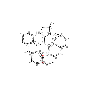 CN1C(=O)CNC1C(c1c2ccccc2cc2ccccc12)c1c2ccccc2cc2ccccc12